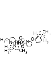 Cc1ccc(C(=O)NS(=O)(=O)c2cccc(Oc3cccc(C(C)(C)C)c3)n2)c(N2CC(C)CC2(C)C)n1